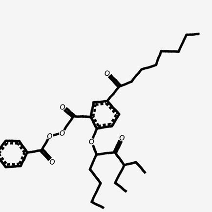 CCCCCCCC(=O)c1ccc(OC(CCCC)C(=O)C(CC)CC)c(C(=O)OOC(=O)c2ccccc2)c1